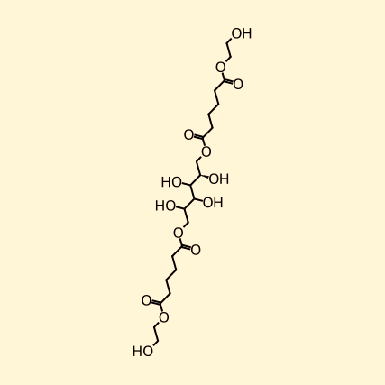 O=C(CCCCC(=O)OCC(O)C(O)C(O)[C@H](O)COC(=O)CCCCC(=O)OCCO)OCCO